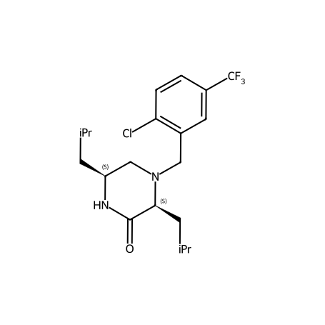 CC(C)C[C@H]1CN(Cc2cc(C(F)(F)F)ccc2Cl)[C@@H](CC(C)C)C(=O)N1